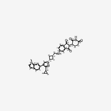 Cn1ccc2ccc(-c3cn([C@H]4C[C@H](CNc5ccc6c(c5)C(=O)N(C5CCC(=O)NC5=O)C6=O)C4)nc3C3CC3)nc21